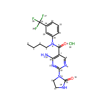 CCCCN(C(=O)c1cnc(N2CCNC2=O)nc1N)c1cccc(C(F)(F)F)c1.Cl